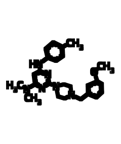 COc1cccc(CN2CCN(c3nc(Nc4ccc(C)cc4)cc(N(C)C)n3)CC2)c1